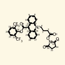 O=C(CCC[n+]1c2ccccc2c(C(=O)Oc2c(C(F)(F)F)cccc2C(F)(F)F)c2ccccc21)ON1C(=O)CCC1=O